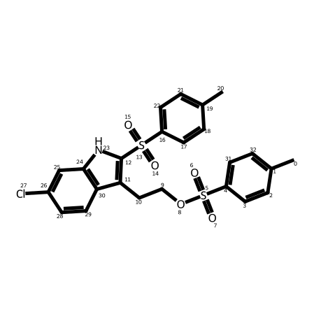 Cc1ccc(S(=O)(=O)OCCc2c(S(=O)(=O)c3ccc(C)cc3)[nH]c3cc(Cl)ccc23)cc1